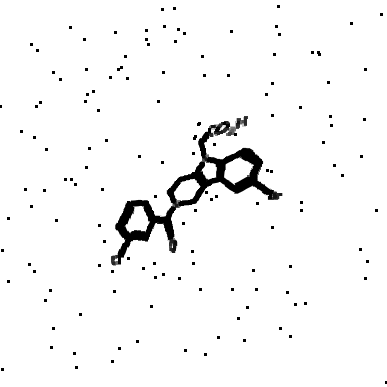 O=C(O)Cn1c2c(c3cc(Br)ccc31)CN(C(=O)c1cccc(Cl)c1)CC2